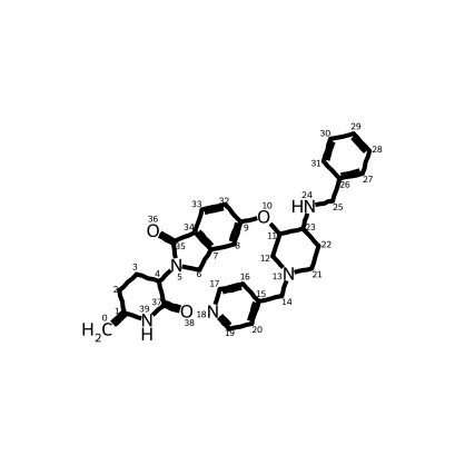 C=C1CCC(N2Cc3cc(OC4CN(Cc5ccncc5)CCC4NCc4ccccc4)ccc3C2=O)C(=O)N1